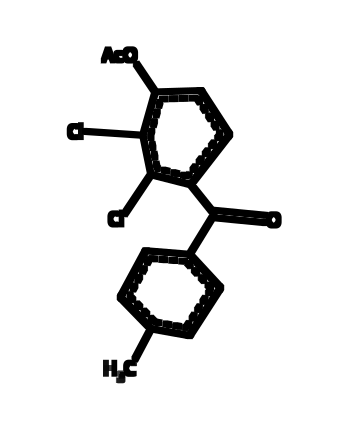 CC(=O)Oc1ccc(C(=O)c2ccc(C)cc2)c(Cl)c1Cl